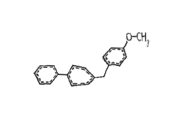 COc1ccc(Cc2ccc(-c3ccccc3)cc2)cc1